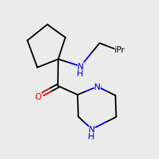 CC(C)CNC1(C(=O)C2CNCC[N]2)CCCC1